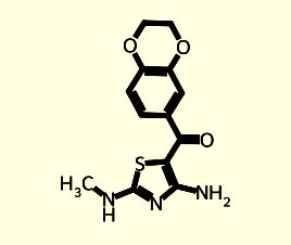 CNc1nc(N)c(C(=O)c2ccc3c(c2)OCCO3)s1